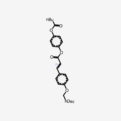 [CH2]CCCCCCCCCCOc1ccc(/C=C/C(=O)Oc2ccc(OC(=O)CCCC)cc2)cc1